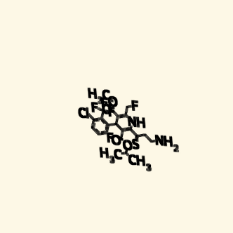 COC(=O)C1=C(CF)NC(C(=S)CCN)=C(C(=O)OC(C)C)C1c1c(F)ccc(Cl)c1C(F)(F)F